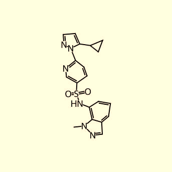 Cn1ncc2cccc(NS(=O)(=O)c3ccc(-n4nccc4C4CC4)nc3)c21